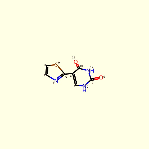 O=c1[nH]cc(-c2nccs2)c(=O)[nH]1